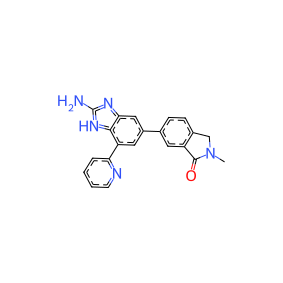 CN1Cc2ccc(-c3cc(-c4ccccn4)c4[nH]c(N)nc4c3)cc2C1=O